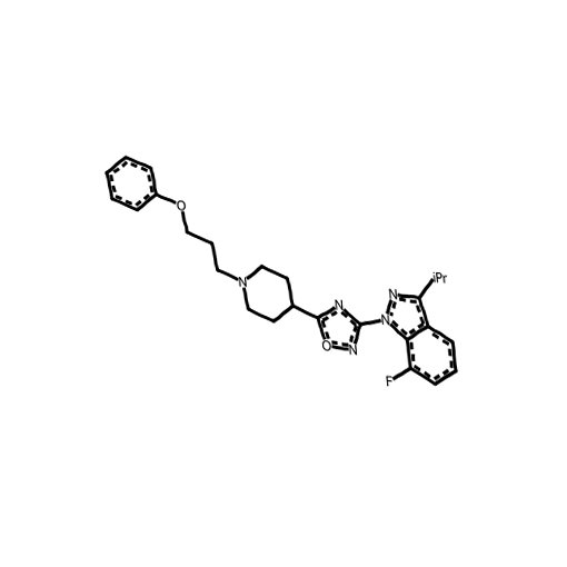 CC(C)c1nn(-c2noc(C3CCN(CCCOc4ccccc4)CC3)n2)c2c(F)cccc12